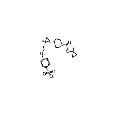 CCS(=O)(=O)c1ccc(OCC[C@@H]2C[C@@H]2C2CCN(C(=O)OC3(C)CC3)CC2)cc1